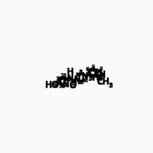 Cn1ncc2ccc(N3CCN(C(=O)Nc4ccc(O)cn4)CC3)cc21